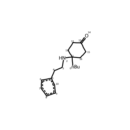 CCCCC1(NCCc2ccccc2)CCC(=O)CC1